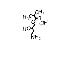 C=C(C)C(=O)OCC(O)CCN.Cl